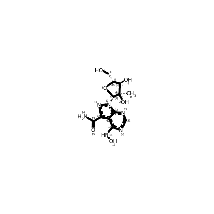 C[C@@]1(O)[C@H](O)[C@@H](CO)O[C@H]1n1nc(C(N)=O)c2c(NO)ncnc21